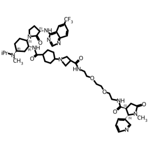 CC(C)N(C)[C@@H]1CC[C@H](N2CC[C@H](Nc3ncnc4ccc(C(F)(F)F)cc34)C2=O)[C@H](NC(=O)C2CCC(N3CC(C(=O)NCCOCCOCCNC(=O)[C@H]4CC(=O)N(C)[C@@H]4c4cccnc4)C3)CC2)C1